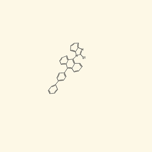 CCc1nc2ccccc2n1-c1c2ccccc2c(-c2ccc(-c3ccccc3)cc2)c2ccccc12